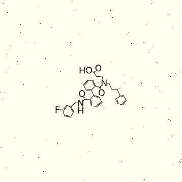 O=C(O)CCN(CCCc1ccccc1)C(=O)c1ccccc1-c1ccccc1C(=O)NCc1cccc(F)c1